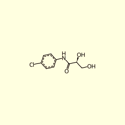 O=C(Nc1ccc(Cl)cc1)[C@@H](O)CO